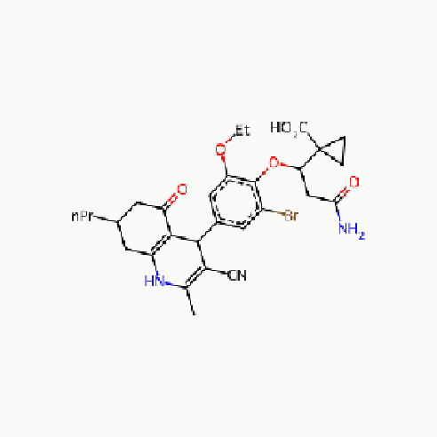 CCCC1CC(=O)C2=C(C1)NC(C)=C(C#N)C2c1cc(Br)c(OC(CC(N)=O)C2(C(=O)O)CC2)c(OCC)c1